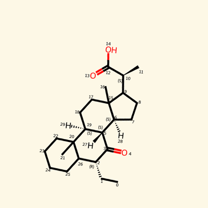 CC[C@H]1C(=O)[C@H]2[C@@H]3CCC([C@H](C)C(=O)O)C3(C)CC[C@@H]2C2(C)CCCCC12